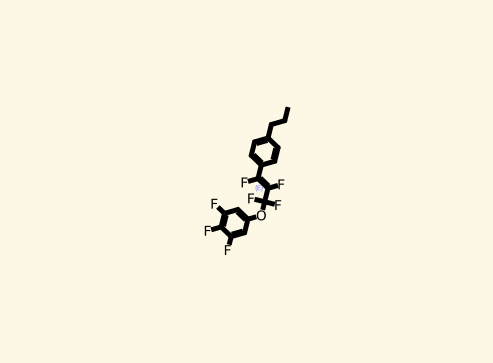 CCCc1ccc(/C(F)=C(\F)C(F)(F)Oc2cc(F)c(F)c(F)c2)cc1